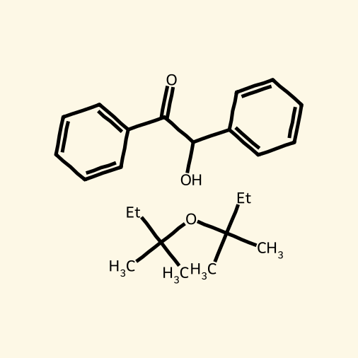 CCC(C)(C)OC(C)(C)CC.O=C(c1ccccc1)C(O)c1ccccc1